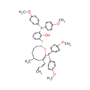 C=C/C=C\C1=C(/P(c2ccc(OC)cc2)c2ccc(OC)cc2)O[C@@H](Cc2cccc(P(c3ccc(OC)cc3)c3ccc(OC)cc3)c2O)CCCC(C)C1